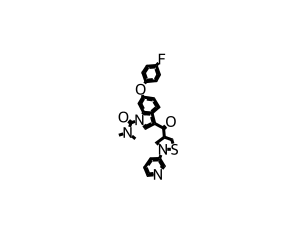 CN(C)C(=O)n1cc(C(=O)C2CSN(c3cccnc3)C2)c2ccc(Oc3ccc(F)cc3)cc21